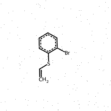 C=CSc1ccccc1Br